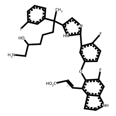 CC(CCCC(O)CN)(c1cccc(I)c1)c1cnc(-c2cc(Oc3c(F)cc4[nH]ccc4c3/C=C/C(=O)O)ccc2F)[nH]1